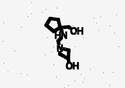 OCC1(NCN2CC(O)C2)CCCC1